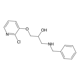 OC(CNCc1ccccc1)COc1cccnc1Cl